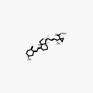 C=C1CC[C@H](O)C/C1=C/C=C1\CCC[C@]2(C)[C@@H]([C@H](C)/C=C/[C@@H](O)C3(C(=O)CCCCCC)CC3)CC[C@@H]12